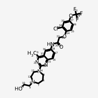 Cc1nc(N2CCCN(CCO)CC2)nc2ccc(NC(=O)COc3ccc(OC(F)(F)F)cc3Cl)cc12